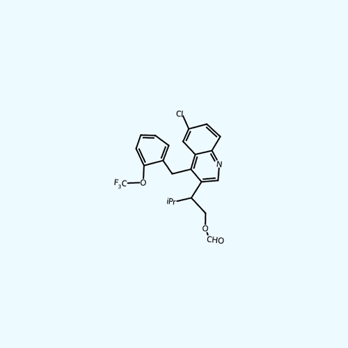 CC(C)C(COC=O)c1cnc2ccc(Cl)cc2c1Cc1ccccc1OC(F)(F)F